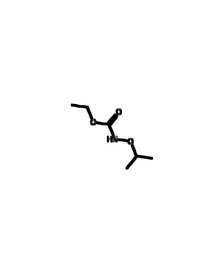 CCOC(=O)NOC(C)C